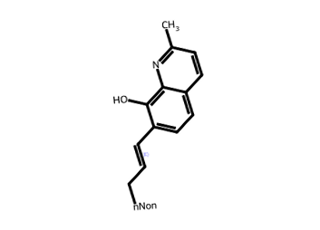 CCCCCCCCCC/C=C/c1ccc2ccc(C)nc2c1O